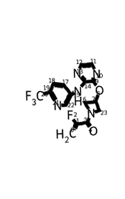 C=C(F)C(=O)N1CC(Oc2nccnc2Nc2ccc(C(F)(F)F)nc2)C1